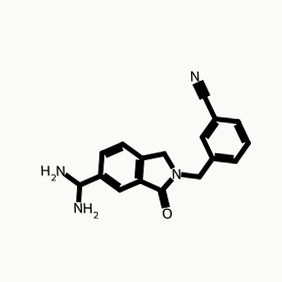 N#Cc1cccc(CN2Cc3ccc(C(N)N)cc3C2=O)c1